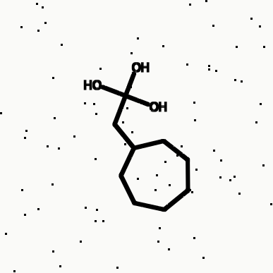 OC(O)(O)CC1CCCCCC1